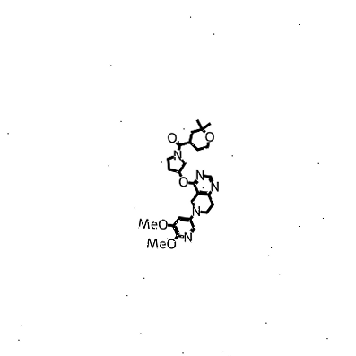 COc1cc(N2CCc3ncnc(OC4CCN(C(=O)C5CCOC(C)(C)C5)C4)c3C2)cnc1OC